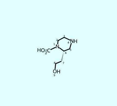 O=C(O)N1CCNC[C@@H]1CCO